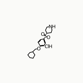 Cl.O=S(=O)(c1ccc(OCC2CCCCC2)cc1)C1CCNCC1